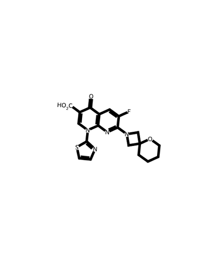 O=C(O)c1cn(-c2nccs2)c2nc(N3CC4(CCCCO4)C3)c(F)cc2c1=O